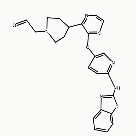 O=CCN1CCC(c2nccnc2Oc2ccc(Nc3nc4ccccc4s3)nc2)CC1